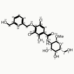 CO[C@H]1O[C@H](CO)[C@@H](O)[C@H](O)[C@H]1NC(=O)c1cc(Cl)c(OCc2cccc(CO)n2)c(Cl)c1C